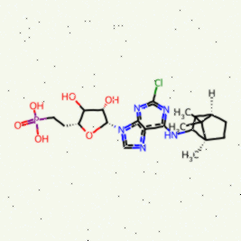 CC1(C)[C@@H]2CC[C@@]1(C)C(Nc1nc(Cl)nc3c1ncn3[C@@H]1O[C@H](CCP(=O)(O)O)C(O)[C@@H]1O)C2